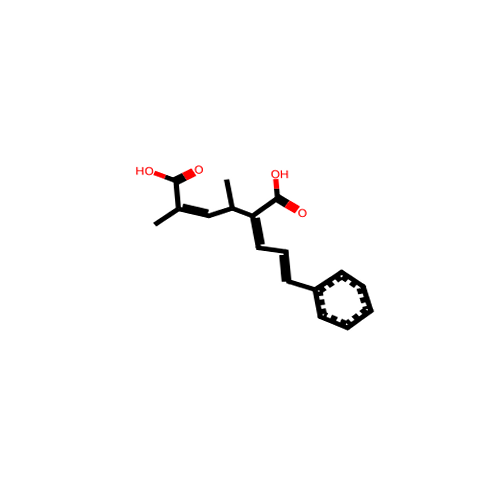 CC(=CC(C)C(=CC=Cc1ccccc1)C(=O)O)C(=O)O